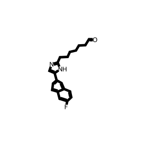 O=CCCCCCCc1ncc(-c2ccc3cc(F)ccc3c2)[nH]1